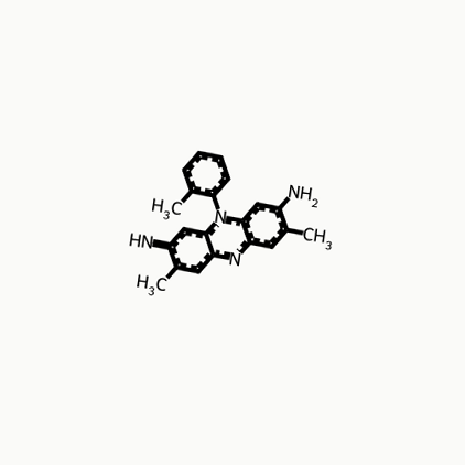 Cc1cc2nc3cc(C)c(=N)cc-3n(-c3ccccc3C)c2cc1N